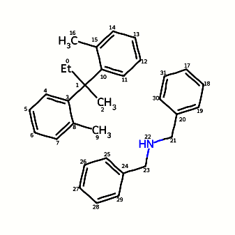 CCC(C)(c1ccccc1C)c1ccccc1C.c1ccc(CNCc2ccccc2)cc1